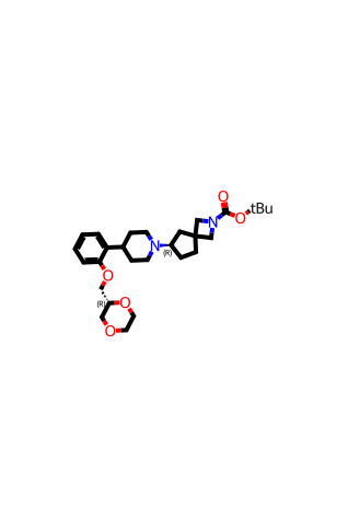 CC(C)(C)OC(=O)N1CC2(CC[C@@H](N3CCC(c4ccccc4OC[C@H]4COCCO4)CC3)C2)C1